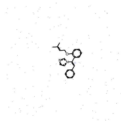 CC(C)=CCOc1ccccc1/C(=C/c1ccccc1)n1ccnc1